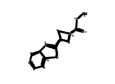 CC(C)(C)OC(=O)N1CC(C2=Nc3ccccc3C2)C1